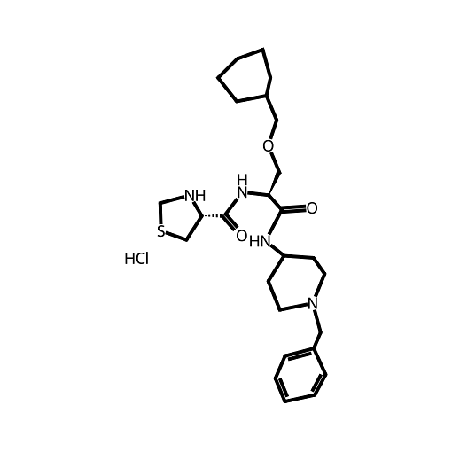 Cl.O=C(N[C@@H](COCC1CCCCC1)C(=O)NC1CCN(Cc2ccccc2)CC1)[C@@H]1CSCN1